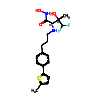 Cc1ccc(-c2ccc(CCCN[C@H](C(=O)NO)[C@](C)(O)C(F)F)cc2)s1